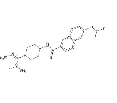 CN(N)/C(=N\N)N1CCC(NC(=O)c2cnc3cc(OC(F)F)ccc3c2)CC1